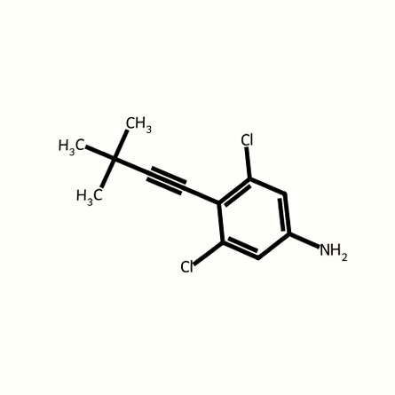 CC(C)(C)C#Cc1c(Cl)cc(N)cc1Cl